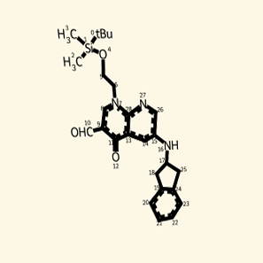 CC(C)(C)[Si](C)(C)OCCn1cc(C=O)c(=O)c2cc(NC3Cc4ccccc4C3)cnc21